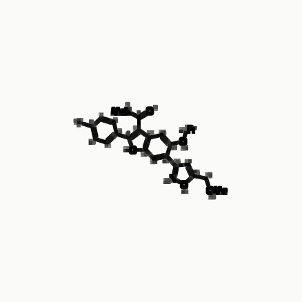 CNC(=O)c1c(-c2ccc(F)cc2)oc2cc(-c3cc(COC)on3)c(OC(C)C)cc12